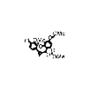 COCOc1cc(OCOC)c(C(=O)C2CC2c2ccc(Cl)cc2)c(OCOC)c1